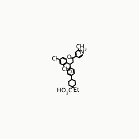 CCC1(C(=O)O)CCC(c2ccc(C(CC(=O)c3ccnc(C)c3)c3ccc(Cl)cc3C)cc2)CC1